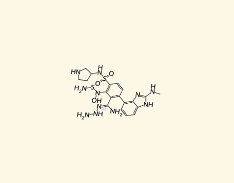 CNc1nc2c(-c3ccc(S(=O)(=O)NC4CCNC4)c(N(O)SN)c3/C(N)=N/NN)cccc2[nH]1